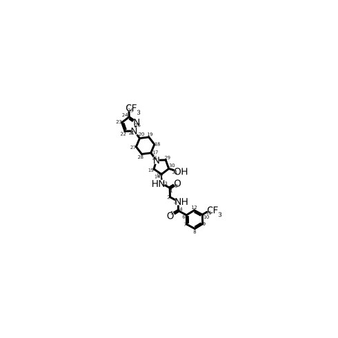 O=C(CNC(=O)c1cccc(C(F)(F)F)c1)N[C@H]1CN(C2CCC(n3ccc(C(F)(F)F)n3)CC2)CC1O